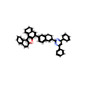 c1ccc(-c2cc(-c3ccccc3)nc(-c3ccc4cc(-c5cc6ccccc6c6c5oc5ccc7ccccc7c56)ccc4c3)n2)cc1